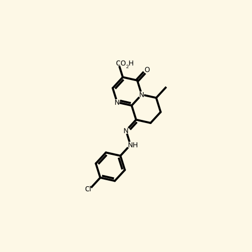 CC1CCC(=NNc2ccc(Cl)cc2)c2ncc(C(=O)O)c(=O)n21